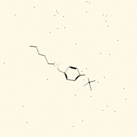 CCCCCNCc1ccc(OC(C)(C)C)cc1